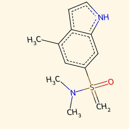 C=S(=O)(c1cc(C)c2cc[nH]c2c1)N(C)C